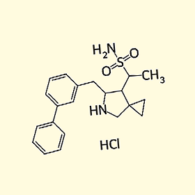 CC(C1C(Cc2cccc(-c3ccccc3)c2)NCC12CC2)S(N)(=O)=O.Cl